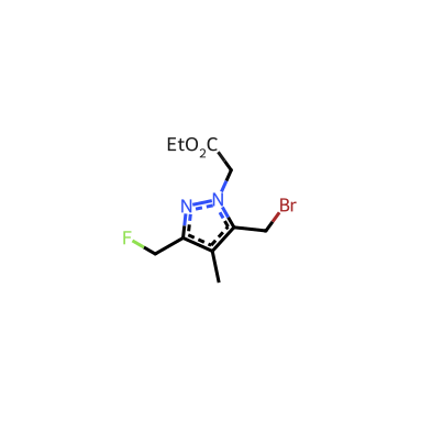 CCOC(=O)Cn1nc(CF)c(C)c1CBr